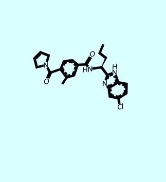 CCC[C@H](NC(=O)c1ccc(C(=O)N2CC=CC2)c(C)c1)c1nc2cc(Cl)ccc2[nH]1